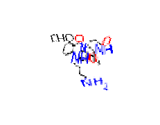 CN(C(=O)c1c(C=O)cccc1NCCCCN)C1CCC(=O)NC1=O